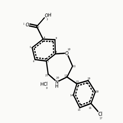 Cl.O=C(O)c1ccc2c(c1)OCC(c1ccc(Cl)cc1)NC2